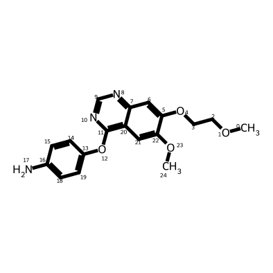 COCCOc1cc2ncnc(Oc3ccc(N)cc3)c2cc1OC